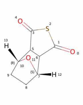 O=C1SC(=O)C2C1[C@@H]1CC[C@H]2O1